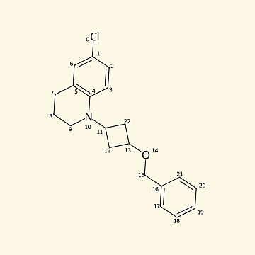 Clc1ccc2c(c1)CCCN2C1CC(OCc2ccccc2)C1